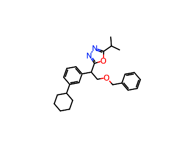 CC(C)c1nnc(C(COCc2ccccc2)c2cccc(C3CCCCC3)c2)o1